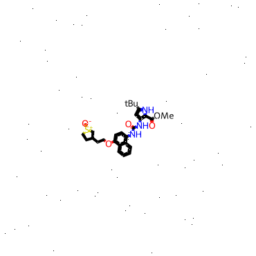 COC(=O)c1[nH]c(C(C)(C)C)cc1NC(=O)Nc1ccc(OCCC2CC[S+]([O-])C2)c2ccccc12